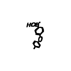 CB(O)c1ccc(Oc2ccc(C)cc2)cc1